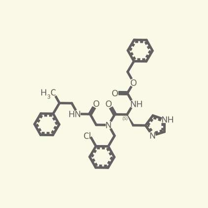 CC(CNC(=O)CN(Cc1ccccc1Cl)C(=O)[C@H](Cc1c[nH]cn1)NC(=O)OCc1ccccc1)c1ccccc1